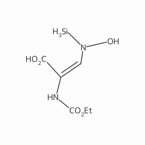 CCOC(=O)NC(=CN(O)[SiH3])C(=O)O